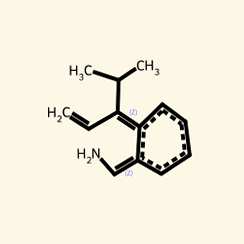 C=C/C(=c1/cccc/c1=C/N)C(C)C